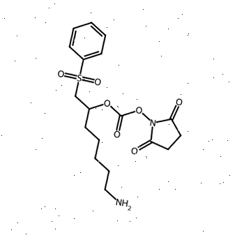 NCCCCCC(CS(=O)(=O)c1ccccc1)OC(=O)ON1C(=O)CCC1=O